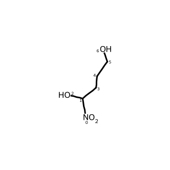 O=[N+]([O-])C(O)CCCO